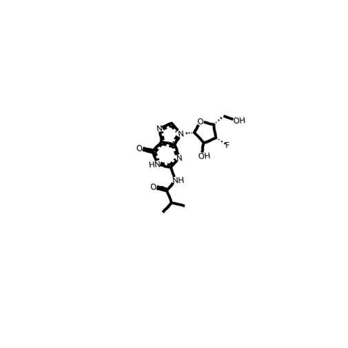 CC(C)C(=O)Nc1nc2c(ncn2[C@@H]2O[C@H](CO)[C@H](F)C2O)c(=O)[nH]1